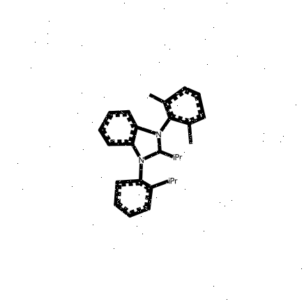 Cc1cccc(C)c1N1c2ccccc2N(c2ccccc2C(C)C)C1C(C)C